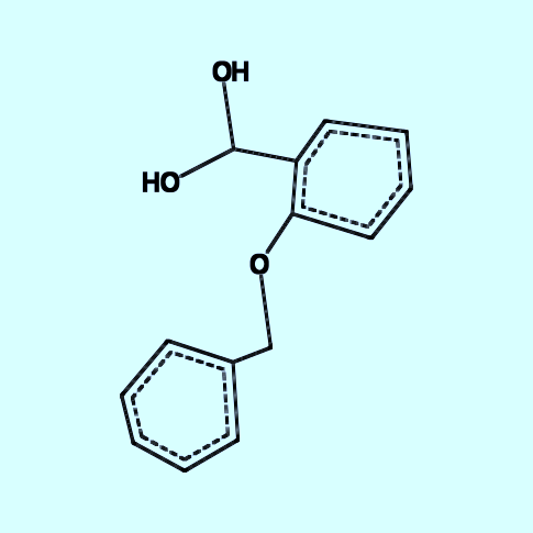 OC(O)c1ccccc1OCc1ccccc1